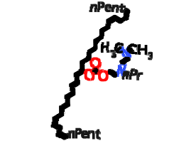 CCCCC/C=C\C/C=C\CCCCCCCCC(CCCCCCCC/C=C\C/C=C\CCCCC)OC(=O)OCCN(CCC)CCN(C)C